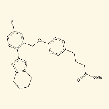 COC(=O)CCCc1ccc(OCc2cc(F)ccc2-c2cc3c(s2)CCCC3)cc1